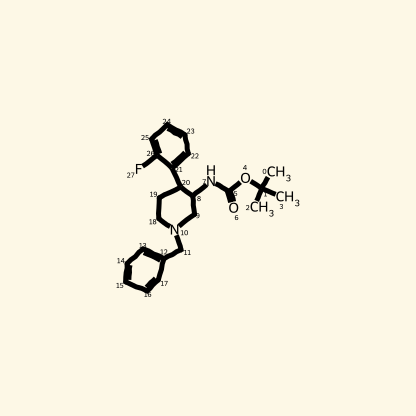 CC(C)(C)OC(=O)NC1CN(Cc2ccccc2)CCC1c1ccccc1F